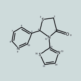 O=C1CSC(c2cccnc2)N1c1nccs1